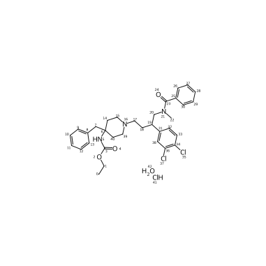 CCOC(=O)NC1(Cc2ccccc2)CCN(CCC(CN(C)C(=O)c2ccccc2)c2ccc(Cl)c(Cl)c2)CC1.Cl.O